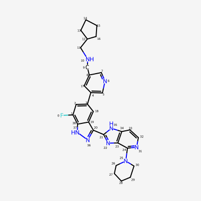 Fc1cc(-c2cncc(CNCC3CCCC3)c2)cc2c(-c3nc4c(N5CCCCC5)nccc4[nH]3)n[nH]c12